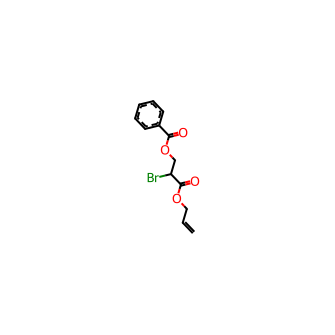 C=CCOC(=O)C(Br)COC(=O)c1ccccc1